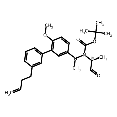 C=CCCc1cccc(-c2cc(N(C)N(C(=O)OC(C)(C)C)[C@@H](C)C=O)ccc2OC)c1